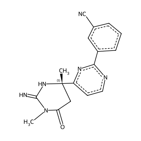 CN1C(=N)N[C@](C)(c2ccnc(-c3cccc(C#N)c3)n2)CC1=O